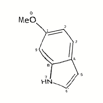 COc1ccc2c[c][nH]c2c1